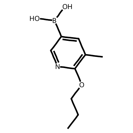 CCCOc1ncc(B(O)O)cc1C